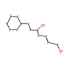 OCCCCC(O)CCC1CCCCC1